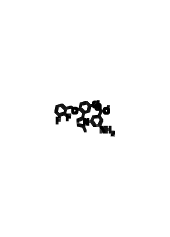 COC(=O)c1cc(N)cc(-n2c(C)ccc2-c2cc(Cl)ccc2OCc2cccc(F)c2F)c1